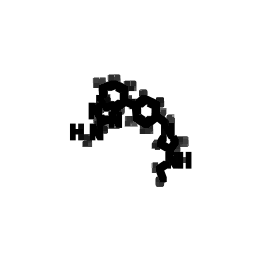 CCNC1CN(Cc2ccc(-c3cccn4nc(N)nc34)cc2)C1